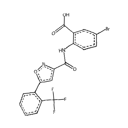 O=C(Nc1ccc(Br)cc1C(=O)O)c1cc(-c2ccccc2C(F)(F)F)on1